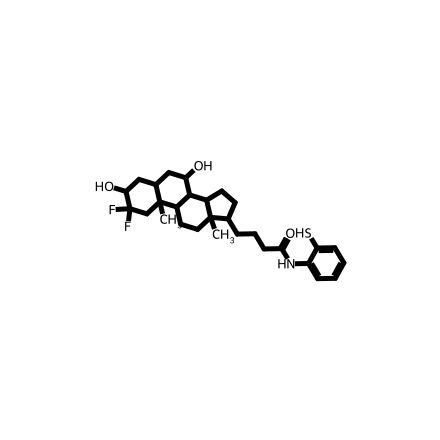 CC12CCC3C(C(O)CC4CC(O)C(F)(F)CC43C)C1CCC2CCCC(=O)Nc1ccccc1S